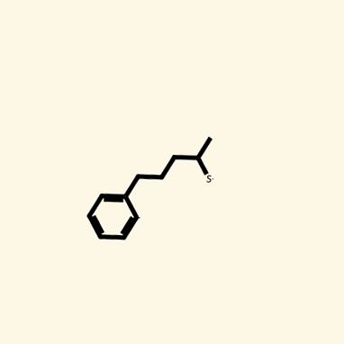 CC([S])CCCc1[c]cccc1